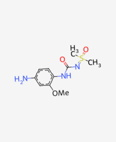 COc1cc(N)ccc1NC(=O)N=S(C)(C)=O